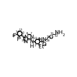 CCc1cc(Nc2nccn3c(-c4cccc(F)c4F)cnc23)ccc1C(=O)NCCOCCN